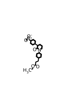 CCOC(=O)CCc1ccc(-n2cccc(-c3ccc([N+](=O)[O-])cc3)c2=O)cc1